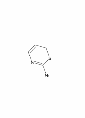 [N]C1=NC=CCS1